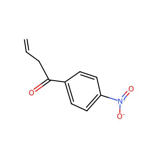 C=CCC(=O)c1ccc([N+](=O)[O-])cc1